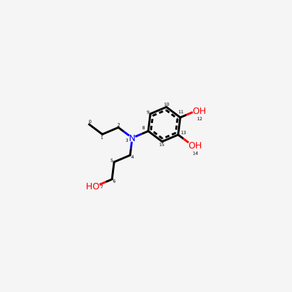 CCCN(CCCO)c1ccc(O)c(O)c1